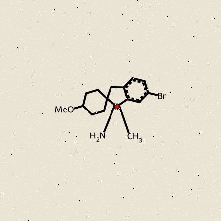 COC1CCC2(CC1)Cc1ccc(Br)cc1C21N=C(C)C(N)=N1